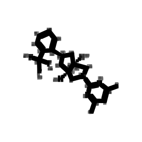 Cc1cc(C)nc(N2C[C@H]3C[C@@H](c4ccccc4C(F)(F)F)C[C@H]3C2)n1